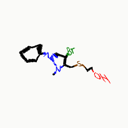 CN1C(CSCCO)=C(Br)CN1c1ccccc1